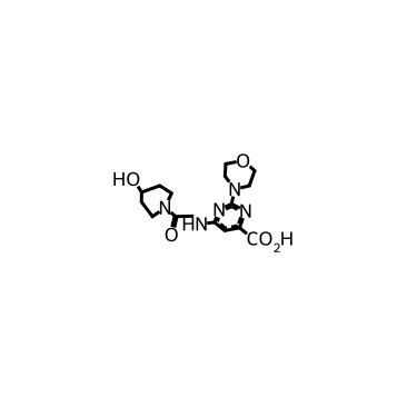 O=C(O)c1cc(NCC(=O)N2CCC(O)CC2)nc(N2CCOCC2)n1